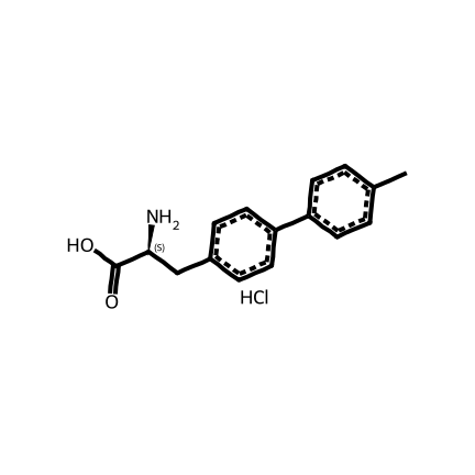 Cc1ccc(-c2ccc(C[C@H](N)C(=O)O)cc2)cc1.Cl